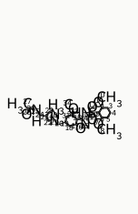 COc1cccc(OC)c1S(=O)(=O)Nc1noc2cc(Cn3cc(CNC(C)=O)cn3)cc(OC)c12